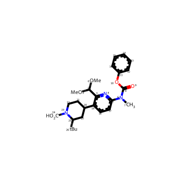 COC(OC)c1nc(N(C)C(=O)Oc2ccccc2)ccc1C1CCN(C(=O)O)C(C(C)(C)C)C1